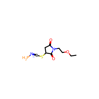 CCOCCN1C(=O)CC(S/B=N/P)C1=O